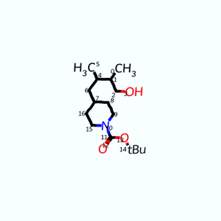 CC(CO)C(C)CC1CCN(C(=O)OC(C)(C)C)CC1